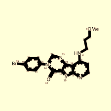 COCCCNc1ccnc2sc3c(=O)n(-c4ccc(Br)cc4)cnc3c12